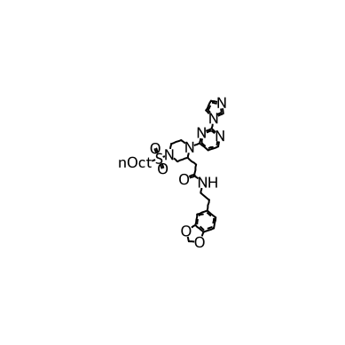 CCCCCCCCS(=O)(=O)N1CCN(c2ccnc(-n3ccnc3)n2)C(CC(=O)NCCc2ccc3c(c2)OCO3)C1